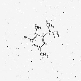 Cc1cc(F)c(O)c(C(C)C)c1